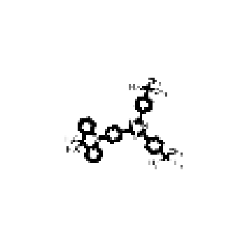 CC(C)(C)c1ccc(-c2nc(-c3ccc(N4c5ccccc5C(C)(C)c5ccccc54)cc3)nc(-c3ccc(C(C)(C)C)cc3)n2)cc1